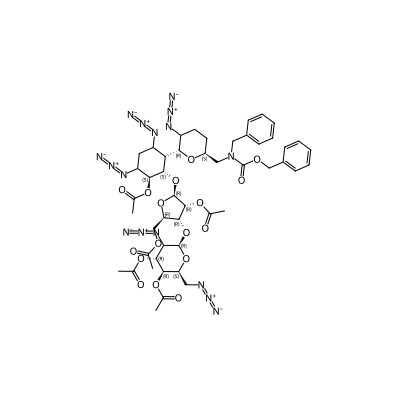 CC(=O)OC[C@H]1O[C@@H](O[C@H]2C([C@H]3O[C@H](CN(Cc4ccccc4)C(=O)OCc4ccccc4)CCC3N=[N+]=[N-])C(N=[N+]=[N-])CC(N=[N+]=[N-])[C@@H]2OC(C)=O)[C@H](OC(C)=O)[C@@H]1O[C@H]1O[C@@H](CN=[N+]=[N-])[C@@H](OC(C)=O)[C@H](OC(C)=O)C1N=[N+]=[N-]